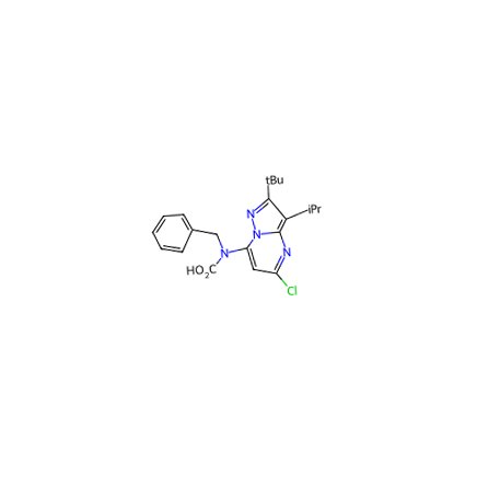 CC(C)c1c(C(C)(C)C)nn2c(N(Cc3ccccc3)C(=O)O)cc(Cl)nc12